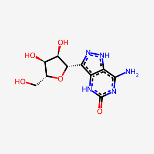 Nc1nc(=O)[nH]c2c([C@@H]3O[C@H](CO)[C@@H](O)[C@H]3O)n[nH]c12